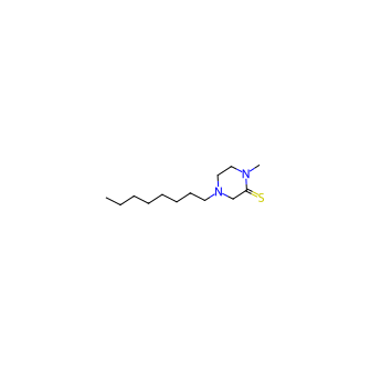 CCCCCCCCN1CCN(C)C(=S)C1